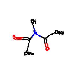 COC(=O)N(C#N)C(=O)OC